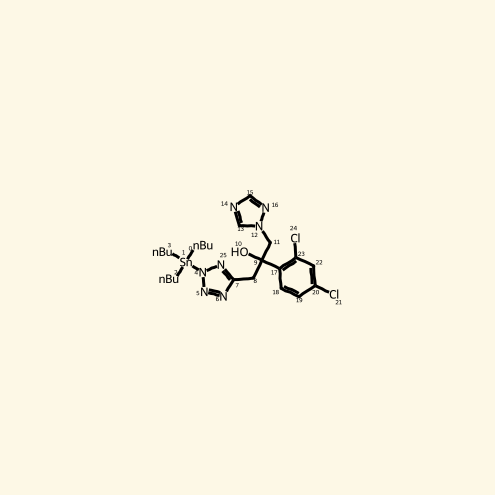 CCC[CH2][Sn]([CH2]CCC)([CH2]CCC)[n]1nnc(CC(O)(Cn2cncn2)c2ccc(Cl)cc2Cl)n1